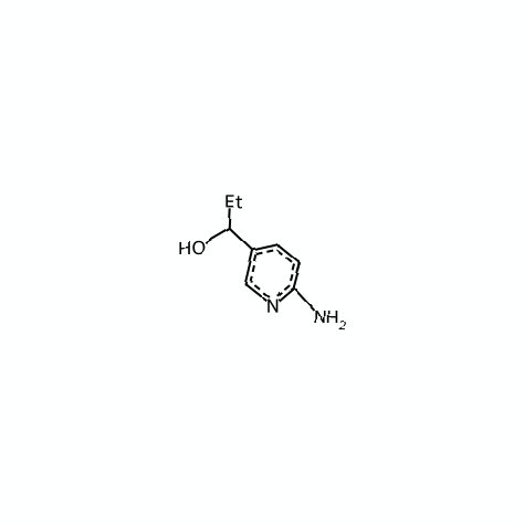 CCC(O)c1ccc(N)nc1